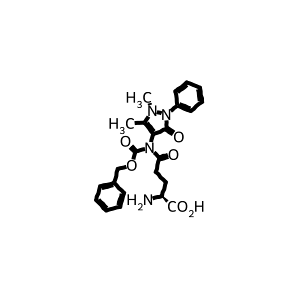 Cc1c(N(C(=O)CC[C@H](N)C(=O)O)C(=O)OCc2ccccc2)c(=O)n(-c2ccccc2)n1C